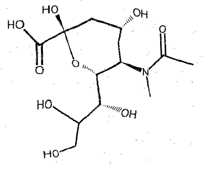 CC(=O)N(C)[C@H]1[C@H]([C@H](O)C(O)CO)O[C@](O)(C(=O)O)C[C@@H]1O